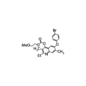 CCc1nc2cc(C)c(Oc3ccc(Br)cc3)cc2c(OC(=O)OCCOC)c1C